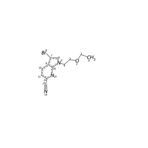 CCOCCn1cc(Br)c2ccc(C#N)nc21